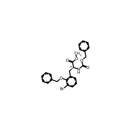 COC(=O)[C@H](Cc1cccc(Br)c1OCc1ccccc1)NC(=O)OCc1ccccc1